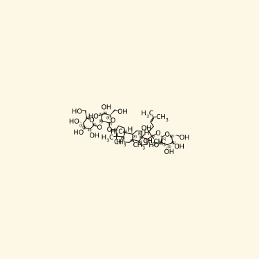 CC(C)=CCC[C@](C)(O[C@@H]1O[C@H](CO)[C@@H](O)[C@H](O)[C@H]1O)[C@H]1CC[C@]2(C)[C@@H]1[C@H](O)C[C@@H]1[C@@]3(C)CC[C@H](O[C@@H]4O[C@H](CO)[C@@H](O)[C@H](O)[C@H]4O[C@@H]4O[C@H](CO)[C@@H](O)[C@H](O)[C@H]4O)C(C)(C)[C@@H]3CC[C@]12C